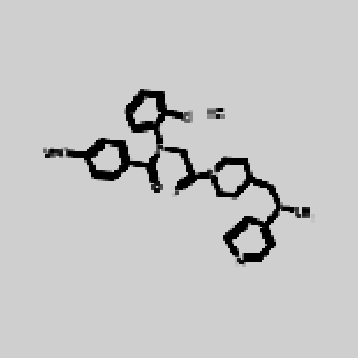 COc1ccc(C(=O)N(CC(=O)N2CCC(CN(C)c3ccncc3)CC2)c2ccccc2Cl)cc1.Cl